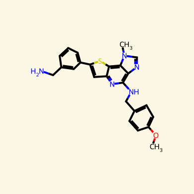 COc1ccc(CNc2nc3cc(-c4cccc(CN)c4)sc3c3c2ncn3C)cc1